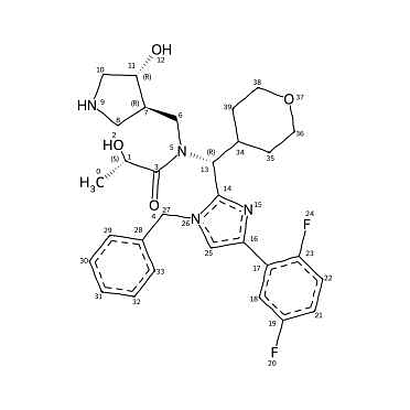 C[C@H](O)C(=O)N(C[C@H]1CNC[C@@H]1O)[C@@H](c1nc(-c2cc(F)ccc2F)cn1Cc1ccccc1)C1CCOCC1